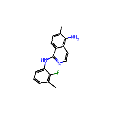 Cc1cccc(Nc2nccc3c(N)c(C)ccc23)c1F